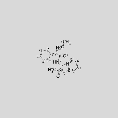 CO/N=C(\C(=O)NCP(C)(=O)Cc1ccccn1)c1ccccc1